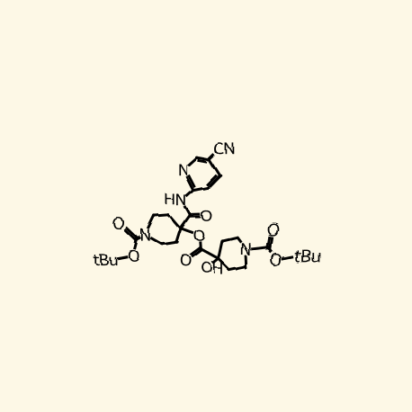 CC(C)(C)OC(=O)N1CCC(O)(C(=O)OC2(C(=O)Nc3ccc(C#N)cn3)CCN(C(=O)OC(C)(C)C)CC2)CC1